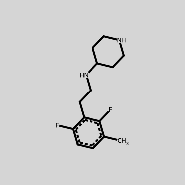 Cc1ccc(F)c(CCNC2CCNCC2)c1F